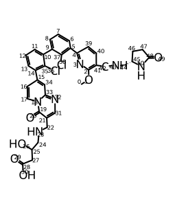 COc1nc(-c2cccc(-c3cccc(-c4ccn5c(=O)c(CNCC(O)CC(=O)O)cnc5c4)c3Cl)c2Cl)ccc1CNC[C@@H]1CCC(=O)N1